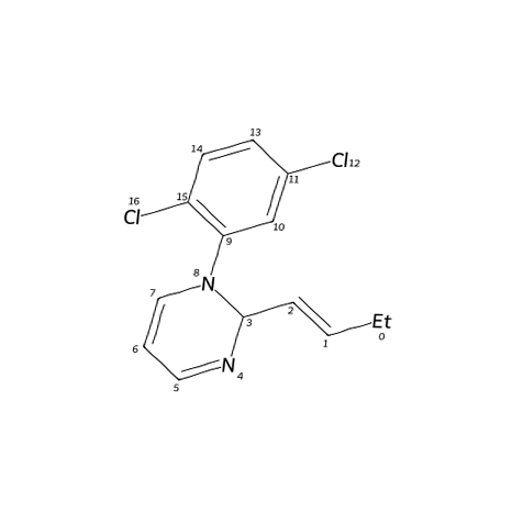 CCC=CC1N=CC=CN1c1cc(Cl)ccc1Cl